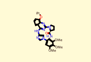 COc1cc(-n2cnc(Nc3nc(N4CCC[C@H]4C(N)=O)nc4c(OC(C)C)cccc34)c2)cc(OC)c1OC